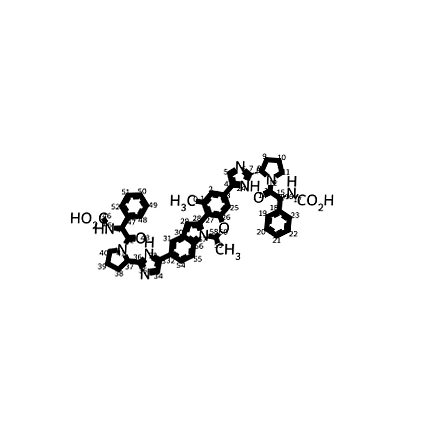 Cc1cc(-c2cnc([C@@H]3CCCN3C(=O)[C@H](NC(=O)O)c3ccccc3)[nH]2)cc2c1-c1cc3cc(-c4cnc(C5CCCN5C(=O)C(NC(=O)O)c5ccccc5)[nH]4)ccc3n1C(C)O2